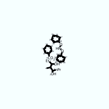 CCCC(O)C(C)C(O)CC.O=C(O)c1ccccc1.c1ccc(OPOc2ccccc2)cc1